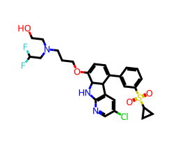 O=S(=O)(c1cccc(C2=CC=C(OCCCN(CCO)CC(F)F)C3Nc4ncc(Cl)cc4C23)c1)C1CC1